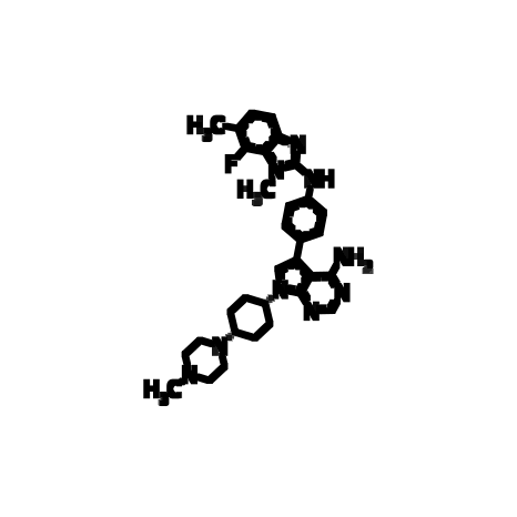 Cc1ccc2nc(Nc3ccc(-c4cn([C@H]5CC[C@@H](N6CCN(C)CC6)CC5)c5ncnc(N)c45)cc3)n(C)c2c1F